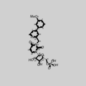 COc1cccc(-c2ccnc(Cn3c(=O)ccn([C@@H]4O[C@H](COP(=O)(O)O)C(O)[C@@H]4O)c3=O)c2)c1